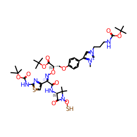 C[n+]1cn(CCCNC(=O)OC(C)(C)C)cc1-c1ccc(OC[C@H](O/N=C(\C(=O)N[C@@H]2C(=O)N(OS)C2(C)C)c2csc(NC(=O)OC(C)(C)C)n2)C(=O)OC(C)(C)C)cc1